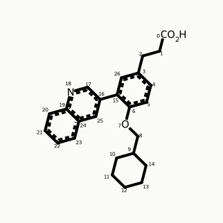 O=C(O)CCc1ccc(OCC2CCCCC2)c(-c2cnc3ccccc3c2)c1